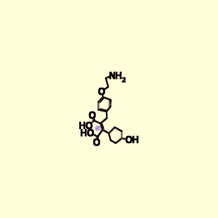 NCCOc1ccc(C/C(C(=O)O)=C(/C(=O)O)C2CCC(O)CC2)cc1